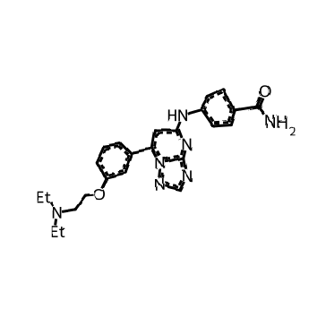 CCN(CC)CCOc1cccc(-c2cc(Nc3ccc(C(N)=O)cc3)nc3ncnn23)c1